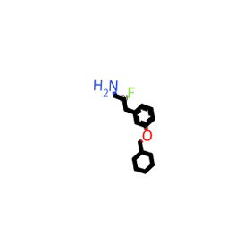 NC[C@H](F)Cc1cccc(OCC2CCCCC2)c1